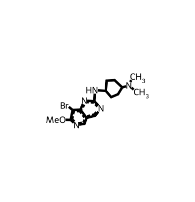 COc1ncc2cnc(NC3CCC(N(C)C)CC3)nc2c1Br